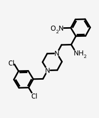 NC(CN1CCN(Cc2cc(Cl)ccc2Cl)CC1)c1ccccc1[N+](=O)[O-]